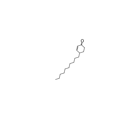 CCCCCCCCCCC1C=CC(=O)CC1